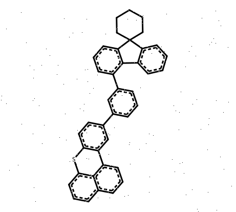 c1cc(-c2ccc3c(c2)-c2cccc4cccc(c24)S3)cc(-c2cccc3c2-c2ccccc2C32CCCCC2)c1